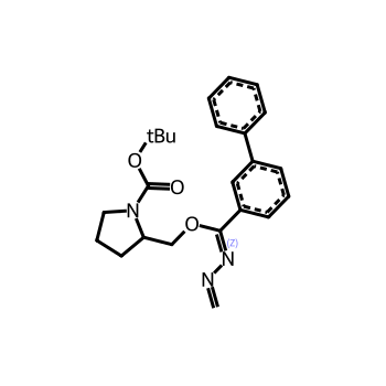 C=N/N=C(\OCC1CCCN1C(=O)OC(C)(C)C)c1cccc(-c2ccccc2)c1